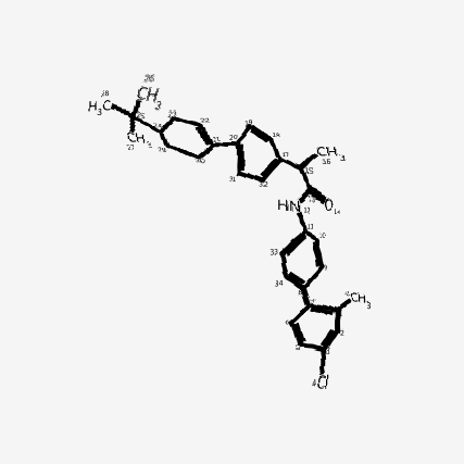 Cc1cc(Cl)ccc1-c1ccc(NC(=O)C(C)c2ccc(C3=CCC(C(C)(C)C)CC3)cc2)cc1